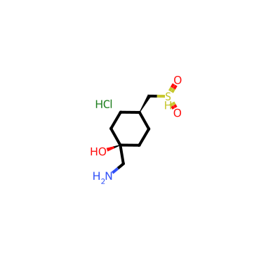 Cl.NC[C@]1(O)CC[C@@H](C[SH](=O)=O)CC1